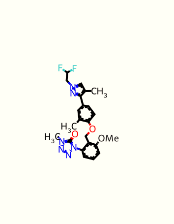 COc1cccc(-n2nnn(C)c2=O)c1COc1ccc(-c2nn(CC(F)F)cc2C)cc1C